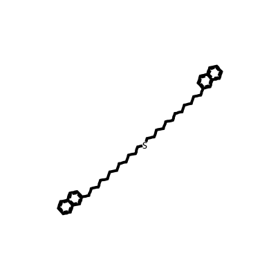 c1ccc2cc(CCCCCCCCCCCCSCCCCCCCCCCCCc3ccc4ccccc4c3)ccc2c1